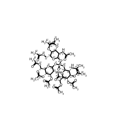 CC(=O)N[C@H]1C(OP(=O)(OC2O[C@H](COC(C)=O)[C@@H](OC(C)=O)[C@H](OC(C)=O)[C@H]2NC(C)=O)OC2O[C@H](COC(C)=O)[C@@H](OC(C)=O)[C@H](OC(C)=O)[C@H]2NC(C)=O)O[C@H](COC(C)=O)[C@@H](OC(C)=O)[C@@H]1OC(C)=O